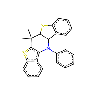 CC1(C)c2sc3ccccc3c2N(c2ccccc2)C2c3ccccc3SC21